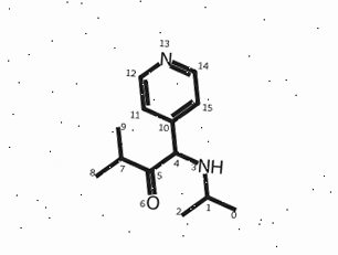 CC(C)NC(C(=O)C(C)C)c1ccncc1